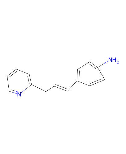 Nc1ccc(/C=C/Cc2ccccn2)cc1